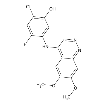 COc1cc2nncc(Nc3cc(O)c(Cl)cc3F)c2cc1OC